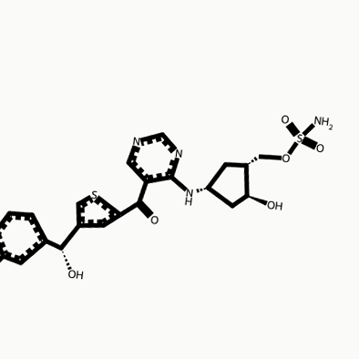 NS(=O)(=O)OC[C@H]1C[C@@H](Nc2ncncc2C(=O)c2cc([C@H](O)c3cccc(Cl)c3)cs2)C[C@@H]1O